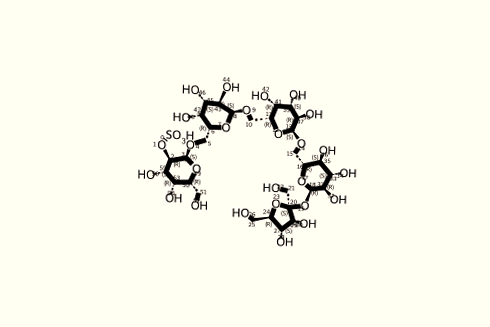 O=S(=O)(O)O[C@H]1[C@@H](OC[C@H]2O[C@H](OC[C@H]3O[C@H](OC[C@H]4O[C@H](O[C@]5(CO)O[C@H](CO)[C@@H](O)[C@@H]5O)[C@H](O)[C@@H](O)[C@@H]4O)[C@H](O)[C@@H](O)[C@H]3O)[C@H](O)[C@@H](O)[C@H]2O)O[C@H](CO)[C@H](O)[C@@H]1O